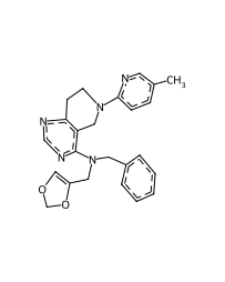 Cc1ccc(N2CCc3ncnc(N(CC4=COCO4)Cc4ccccc4)c3C2)nc1